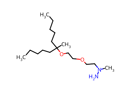 CCCCCC(C)(CCCCC)OCCOCCN(C)N